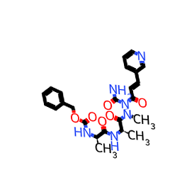 C[C@H](NC(=O)OCc1ccccc1)C(=O)N[C@@H](C)C(=O)N(C)N(C(N)=O)C(=O)/C=C/c1cccnc1